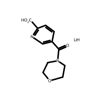 O=C(O)c1ccc(C(=O)N2CCOCC2)cn1.[LiH]